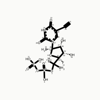 BC(B)(OP(=O)(O)OP(=O)(O)O)[C@@]1(F)O[C@@](B)(n2cc(C#C)c(=O)[nH]c2=O)[C@H](O)[C@@H]1O